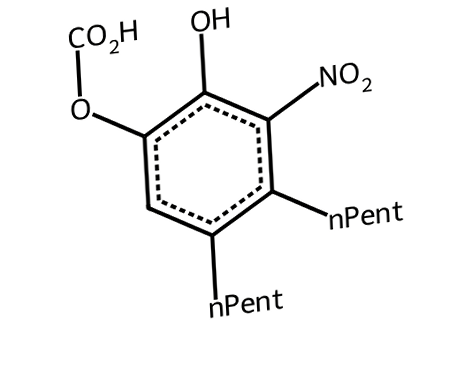 CCCCCc1cc(OC(=O)O)c(O)c([N+](=O)[O-])c1CCCCC